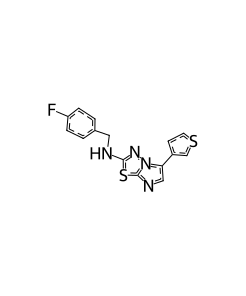 Fc1ccc(CNc2nn3c(-c4ccsc4)cnc3s2)cc1